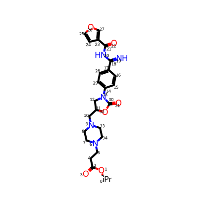 CC(C)OC(=O)CCN1CCN(CC2CN(c3ccc(C(=N)NC(=O)c4ccoc4)cc3)C(=O)O2)CC1